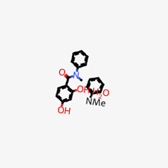 CN(C(=O)c1ccc(O)cc1O)c1ccccc1.CNc1ccccc1.O